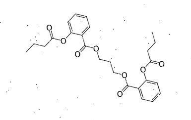 CCCC(=O)Oc1ccccc1C(=O)OCCCOC(=O)c1ccccc1OC(=O)CCC